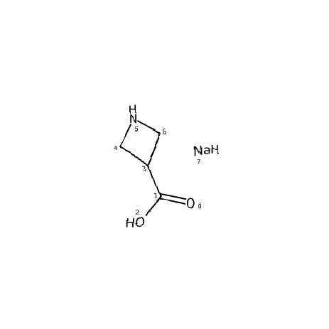 O=C(O)C1CNC1.[NaH]